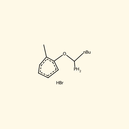 Br.CCCCC(P)Oc1ccccc1C